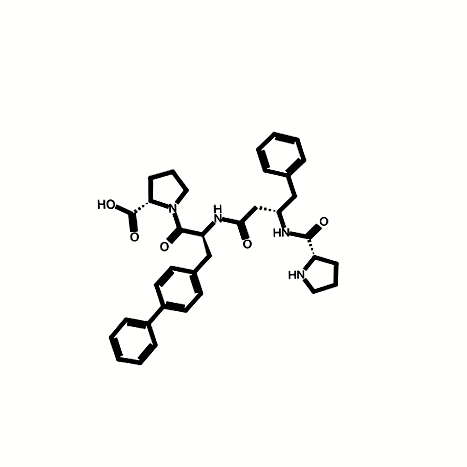 O=C(C[C@H](Cc1ccccc1)NC(=O)[C@@H]1CCCN1)N[C@@H](Cc1ccc(-c2ccccc2)cc1)C(=O)N1CCC[C@H]1C(=O)O